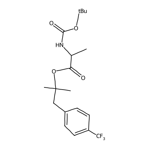 CC(NC(=O)OC(C)(C)C)C(=O)OC(C)(C)Cc1ccc(C(F)(F)F)cc1